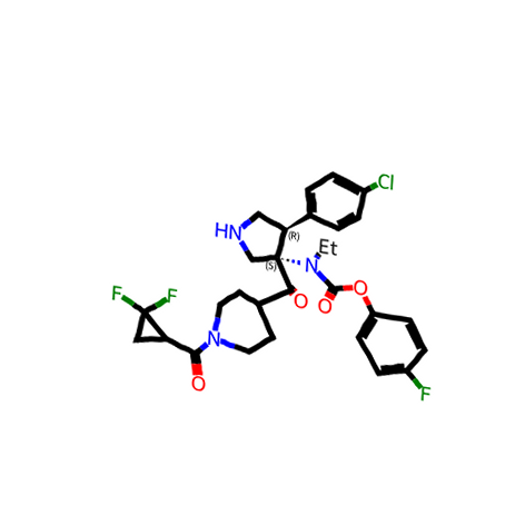 CCN(C(=O)Oc1ccc(F)cc1)[C@]1(C(=O)C2CCN(C(=O)C3CC3(F)F)CC2)CNC[C@H]1c1ccc(Cl)cc1